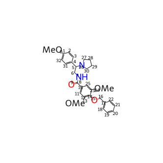 COc1ccc(C(CNC(=O)c2cc(OC)c(OCc3ccccc3)c(OC)c2)N2CCCC2)cc1